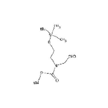 CC(C)(C)OC(=O)N(CC=O)CCO[Si](C)(C)C(C)(C)C